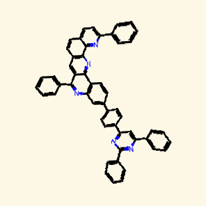 c1ccc(-c2cc(-c3ccc(-c4ccc5c(c4)nc(-c4ccccc4)c4cc6ccc7ccc(-c8ccccc8)nc7c6nc45)cc3)nc(-c3ccccc3)n2)cc1